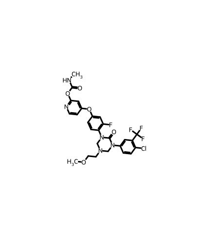 CNC(=O)Oc1cc(Oc2ccc(N3CN(CCOC)CN(c4ccc(Cl)c(C(F)(F)F)c4)C3=O)c(F)c2)ccn1